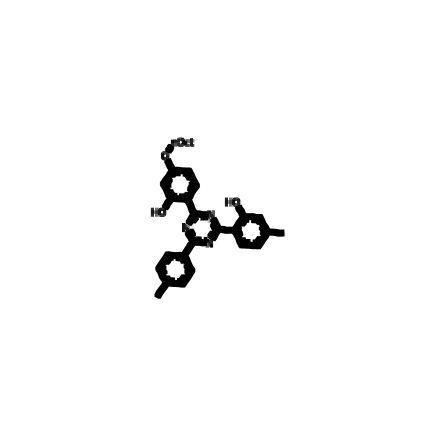 CCCCCCCCOc1ccc(-c2nc(-c3ccc(C)cc3)nc(-c3ccc(C)cc3O)n2)c(O)c1